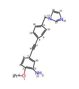 CC(C)Oc1ccc(C#Cc2ccc(Cn3ccnc3)cc2)cc1N